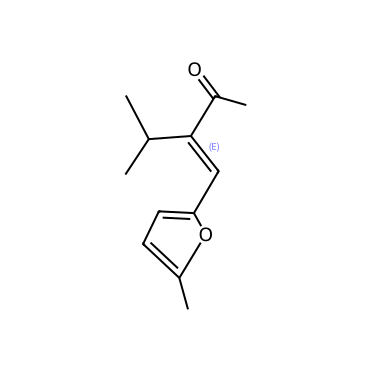 CC(=O)/C(=C/c1ccc(C)o1)C(C)C